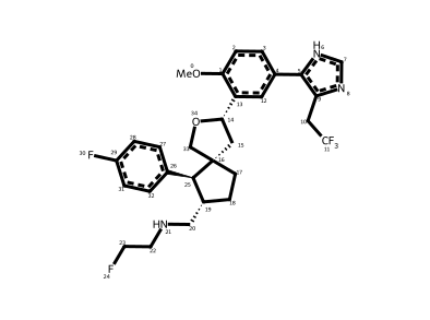 COc1ccc(-c2[nH]cnc2CC(F)(F)F)cc1[C@@H]1C[C@@]2(CC[C@H](CNCCF)[C@H]2c2ccc(F)cc2)CO1